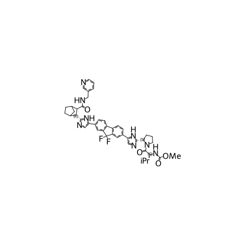 COC(=O)N[C@H](C(=O)N1CCC[C@H]1c1ncc(-c2ccc3c(c2)C(F)(F)c2cc(-c4cnc([C@@H]5C6CCC(C6)C5C(=O)NCc5cccnc5)[nH]4)ccc2-3)[nH]1)C(C)C